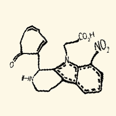 O=C(O)Cn1c2c(c3cccc([N+](=O)[O-])c31)CCNC2C1=CC=CCC1=O